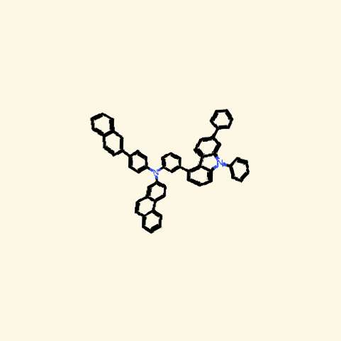 c1ccc(-c2ccc3c4c(-c5cccc(N(c6ccc(-c7ccc8ccccc8c7)cc6)c6ccc7c(ccc8ccccc87)c6)c5)cccc4n(-c4ccccc4)c3c2)cc1